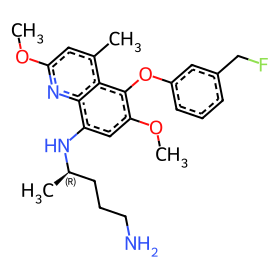 COc1cc(C)c2c(Oc3cccc(CF)c3)c(OC)cc(N[C@H](C)CCCN)c2n1